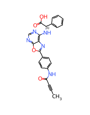 CC#CC(=O)Nc1ccc(-c2nc3c(N[C@H](C(=O)O)c4ccccc4)ncnc3o2)cc1